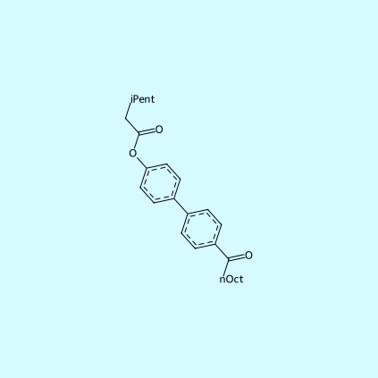 CCCCCCCCC(=O)c1ccc(-c2ccc(OC(=O)CC(C)CCC)cc2)cc1